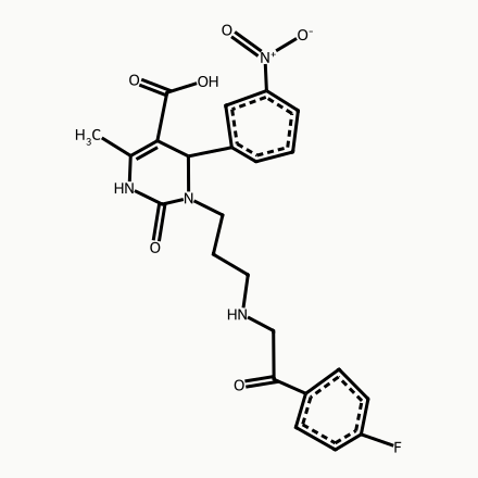 CC1=C(C(=O)O)C(c2cccc([N+](=O)[O-])c2)N(CCCNCC(=O)c2ccc(F)cc2)C(=O)N1